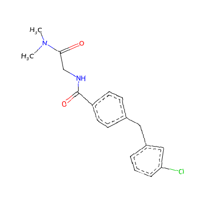 CN(C)C(=O)CNC(=O)c1ccc(Cc2cccc(Cl)c2)cc1